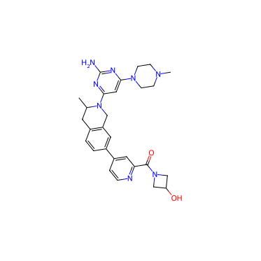 CC1Cc2ccc(-c3ccnc(C(=O)N4CC(O)C4)c3)cc2CN1c1cc(N2CCN(C)CC2)nc(N)n1